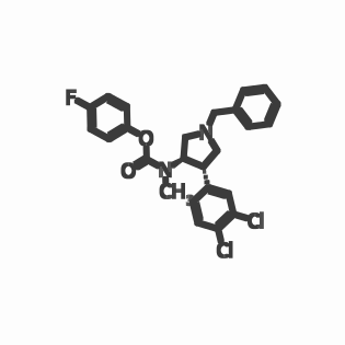 CN(C(=O)Oc1ccc(F)cc1)[C@H]1CN(Cc2ccccc2)C[C@@H]1c1ccc(Cl)c(Cl)c1